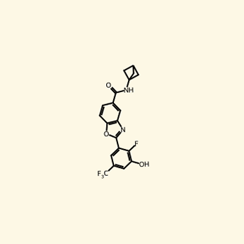 O=C(NC12CC(C1)C2)c1ccc2oc(-c3cc(C(F)(F)F)cc(O)c3F)nc2c1